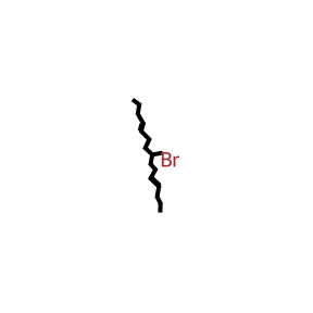 CCCC=CCCC(CBr)CCC=CCCC